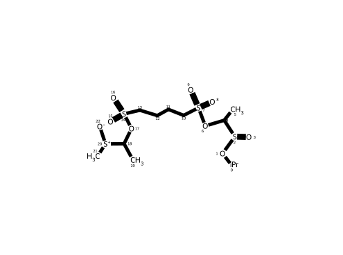 CC(C)OS(=O)C(C)OS(=O)(=O)CCCCS(=O)(=O)OC(C)[S+](C)[O-]